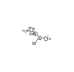 COc1c(N)ncnc1N1CCC(c2cc(-c3ccc(F)c(C)c3)cn2CCN2CCC2)CC1